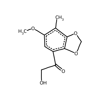 COc1cc(C(=O)CO)c2c(c1C)OCO2